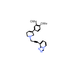 COc1ccc(C2=CCCN(CC#Cc3cccn4cnnc34)C2)cc1OC